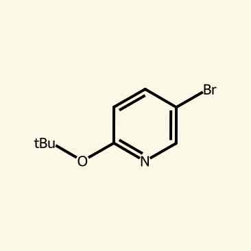 CC(C)(C)Oc1ccc(Br)cn1